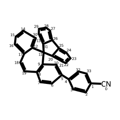 N#Cc1ccc(-c2ccc3c(c2)C2(c4ccccc4C=C3)c3ccccc3-c3ccccc32)cc1